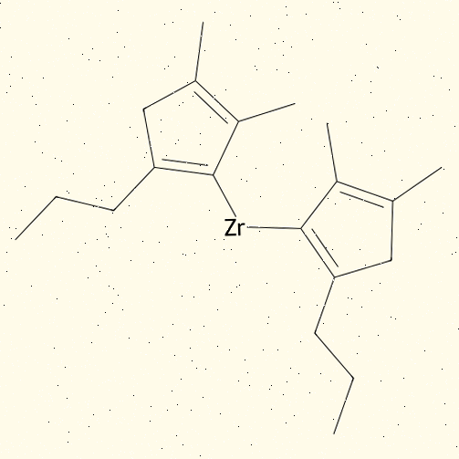 CCCC1=[C]([Zr][C]2=C(CCC)CC(C)=C2C)C(C)=C(C)C1